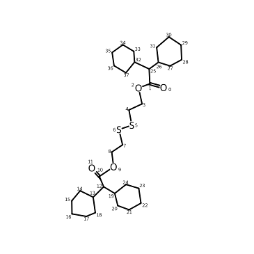 O=C(OCCSSCCOC(=O)C(C1CCCCC1)C1CCCCC1)C(C1CCCCC1)C1CCCCC1